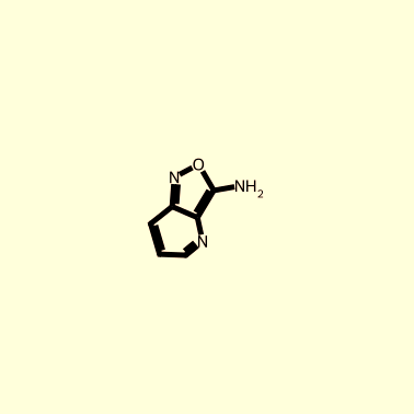 Nc1onc2cccnc12